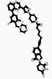 O=C1CCC(N2Cc3cc(C#CCCCCC(=O)N4CCC(n5cc(-c6cnc7cccc(-c8cc(F)c(CN9CCOCC9)c(F)c8)c7n6)cn5)CC4)ccc3C2=O)C(=O)N1